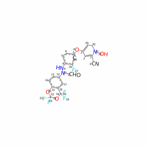 N#CC1=CC(Oc2ccc(NN(C=O)c3ccc4c(c3)C(F)(F)OC(F)(F)O4)c(F)c2)=CCN1O